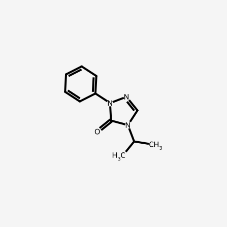 CC(C)n1cnn(-c2ccccc2)c1=O